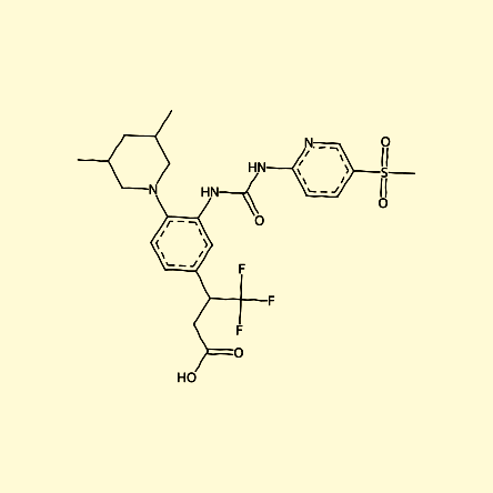 CC1CC(C)CN(c2ccc(C(CC(=O)O)C(F)(F)F)cc2NC(=O)Nc2ccc(S(C)(=O)=O)cn2)C1